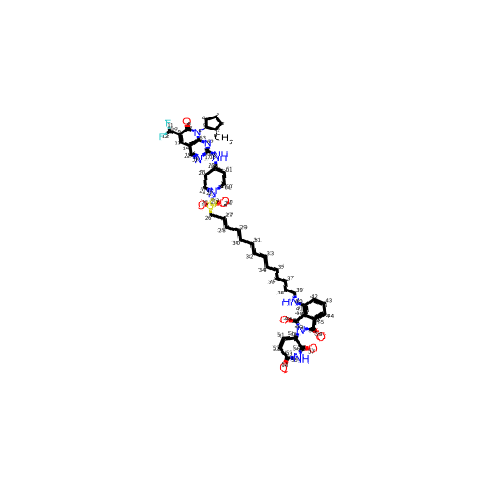 C[C@H]1CCC[C@H]1n1c(=O)c(C(F)F)cc2cnc(NC3CCN(S(=O)(=O)CCCCCCCCCCCCCCNc4cccc5c4C(=O)N(C4CCC(=O)NC4=O)C5=O)CC3)nc21